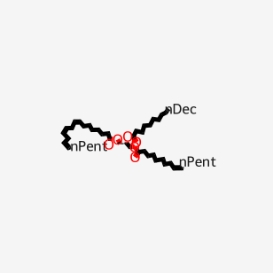 CCCCC/C=C\C/C=C\C/C=C\CCCCCCC(=O)OC[C@@H](COC(=O)CCCCCCC/C=C\CCCCC)OC(=O)CCCCCCCCCCCCCCCCCC